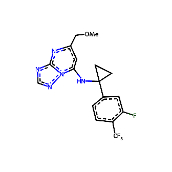 COCc1cc(NC2(c3ccc(C(F)(F)F)c(F)c3)CC2)n2ncnc2n1